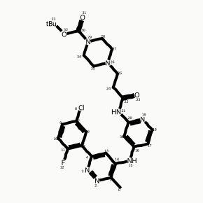 Cc1nnc(-c2cc(Cl)ccc2F)cc1Nc1ccnc(NC(=O)CCN2CCN(C(=O)OC(C)(C)C)CC2)c1